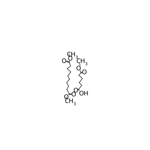 CCOC(=O)CCCCC(=O)O.COC(=O)CCCCCCCCC(=O)OC